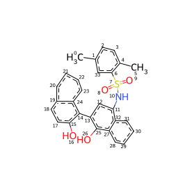 Cc1ccc(C)c(S(=O)(=O)Nc2cc(-c3c(O)ccc4ccccc34)c(O)c3ccccc23)c1